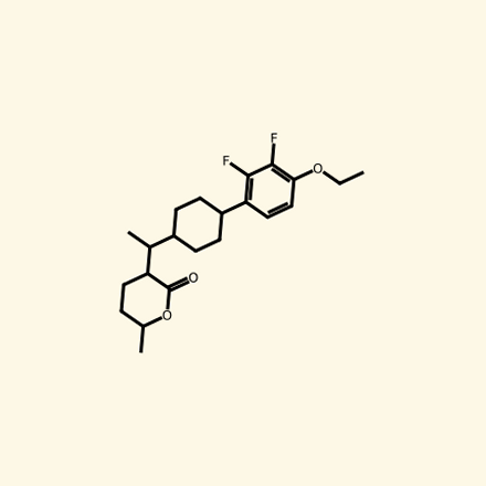 CCOc1ccc(C2CCC(C(C)C3CCC(C)OC3=O)CC2)c(F)c1F